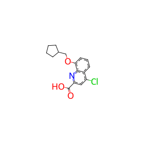 O=C(O)c1cc(Cl)c2cccc(OCC3CCCC3)c2n1